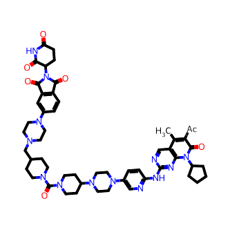 CC(=O)c1c(C)c2cnc(Nc3ccc(N4CCN(C5CCN(C(=O)N6CCC(CN7CCN(c8ccc9c(c8)C(=O)N(C8CCC(=O)NC8=O)C9=O)CC7)CC6)CC5)CC4)cn3)nc2n(C2CCCC2)c1=O